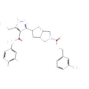 CCc1c(C(=O)Nc2ccc(F)c(Cl)c2)c(C2CC3CN(C(=O)OCc4cccc(P)c4)CC3C2)nn1C